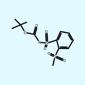 CC(C)(C)OC(=O)[N]S(=O)(=O)c1ccccc1S(C)(=O)=O